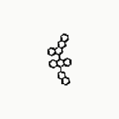 c1ccc2cc(-c3c4ccccc4c(-c4cc5cc6ccccc6cc5c5ccccc45)c4ccccc34)ccc2c1